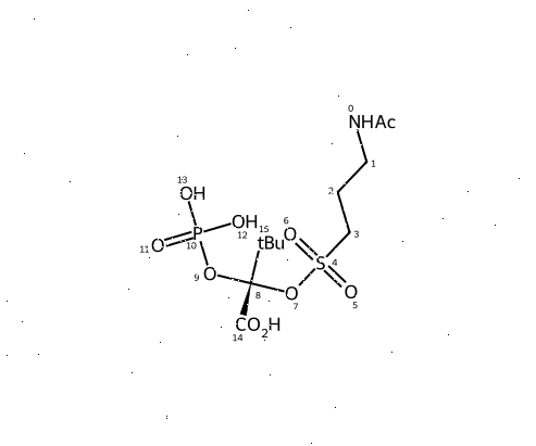 CC(=O)NCCCS(=O)(=O)O[C@@](OP(=O)(O)O)(C(=O)O)C(C)(C)C